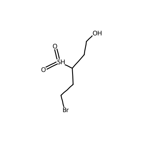 O=[SH](=O)C(CCO)CCBr